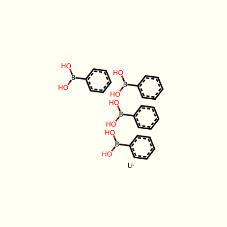 OB(O)c1ccccc1.OB(O)c1ccccc1.OB(O)c1ccccc1.OB(O)c1ccccc1.[Li]